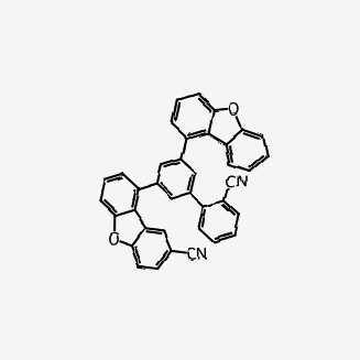 N#Cc1ccc2oc3cccc(-c4cc(-c5ccccc5C#N)cc(-c5cccc6oc7ccccc7c56)c4)c3c2c1